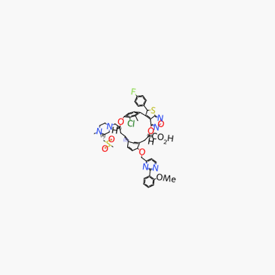 COc1ccccc1-c1nccc(COC2C=C/C3=C\C[C@H](CN4CCN(C)[C@@H](CS(C)(=O)=O)C4)Oc4ccc(c(C)c4Cl)C4=C5C(=NON=C5SC4c4ccc(F)cc4)O[C@@H](C(=O)O)CC2=C3)n1